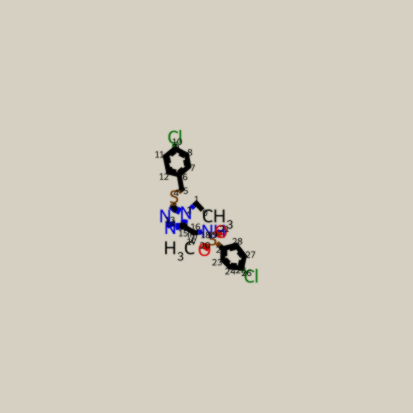 CCn1c(SCc2ccc(Cl)cc2)nnc1[C@@H](C)NS(=O)(=O)c1ccc(Cl)cc1